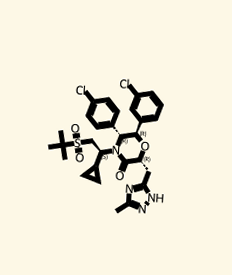 Cc1n[nH]c(C[C@H]2O[C@H](c3cccc(Cl)c3)[C@@H](c3ccc(Cl)cc3)N([C@H](CS(=O)(=O)C(C)(C)C)C3CC3)C2=O)n1